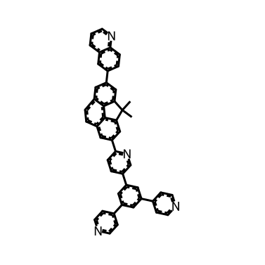 CC1(C)c2cc(-c3ccc4ncccc4c3)cc3ccc4cc(-c5ccc(-c6cc(-c7ccncc7)cc(-c7ccncc7)c6)cn5)cc1c4c23